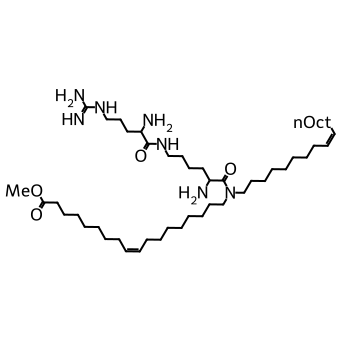 CCCCCCCC/C=C\CCCCCCCCN(CCCCCCCC/C=C\CCCCCCCC(=O)OC)C(=O)C(N)CCCCNC(=O)C(N)CCCNC(=N)N